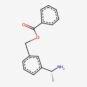 C[C@@H](N)c1cccc(COC(=O)c2ccccc2)c1